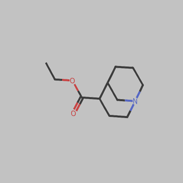 CCOC(=O)C1CCN2CCCC1C2